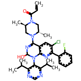 C=CC(=O)N1C[C@H](C)N(C2=NC(O)N(c3c(C(C)C)ncnc3C(C)C)c3nc(-c4ccccc4F)c(Cl)cc32)C[C@H]1C